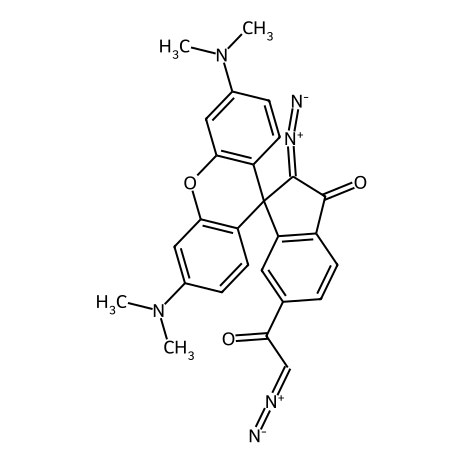 CN(C)c1ccc2c(c1)Oc1cc(N(C)C)ccc1C21C(=[N+]=[N-])C(=O)c2ccc(C(=O)C=[N+]=[N-])cc21